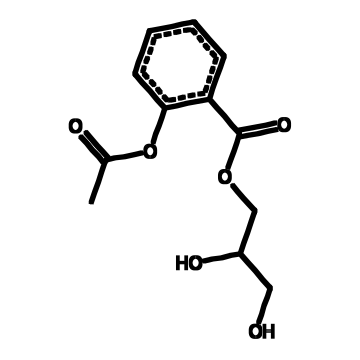 CC(=O)Oc1ccccc1C(=O)OCC(O)CO